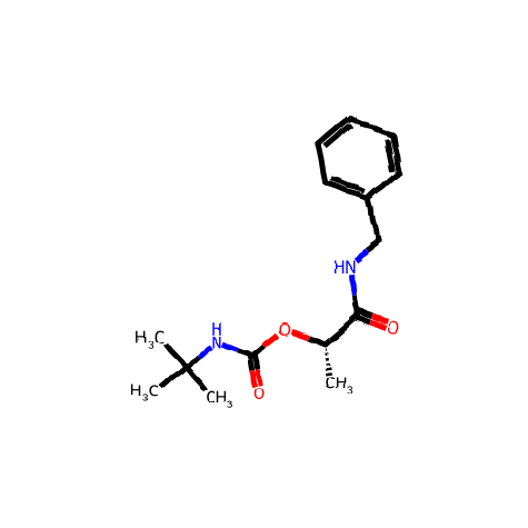 C[C@H](OC(=O)NC(C)(C)C)C(=O)NCc1ccccc1